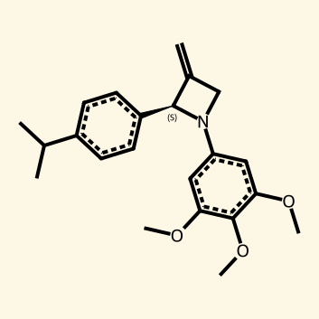 C=C1CN(c2cc(OC)c(OC)c(OC)c2)[C@H]1c1ccc(C(C)C)cc1